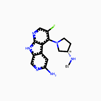 CCN[C@H]1CCN(c2c(F)cnc3[nH]c4cnc(N)cc4c23)C1